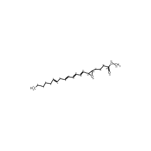 CCCCC/C=C/C/C=C/C=C/C=C/C1OC1CCCC(=O)OC